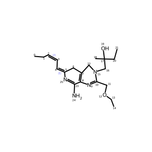 CC/C=C\C=C1/CC2=C(N=C(COCC)N(CC(C)(O)CC)C2)C(N)=N1